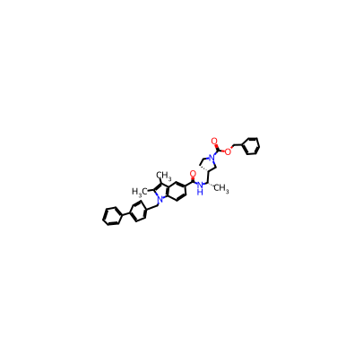 Cc1c(C)n(Cc2ccc(-c3ccccc3)cc2)c2ccc(C(=O)N[C@@H](C)[C@@H]3CCN(C(=O)OCc4ccccc4)C3)cc12